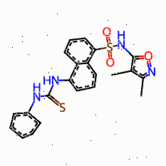 Cc1noc(NS(=O)(=O)c2cccc3c(NC(=S)Nc4ccccc4)cccc23)c1C